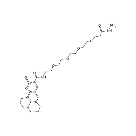 NNC(=O)CCOCCOCCOCCOCCNC(=O)c1cc2cc3c4c(c2oc1=O)CCCN4CCC3